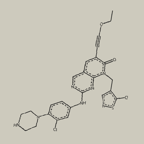 CCOC#Cc1cc2cnc(Nc3ccc(N4CCNCC4)c(Cl)c3)nc2n(Cc2cnsc2Cl)c1=O